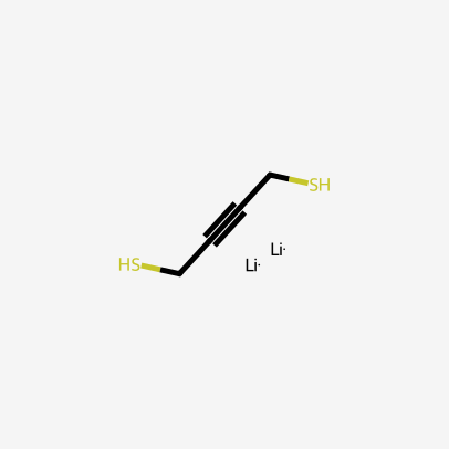 SCC#CCS.[Li].[Li]